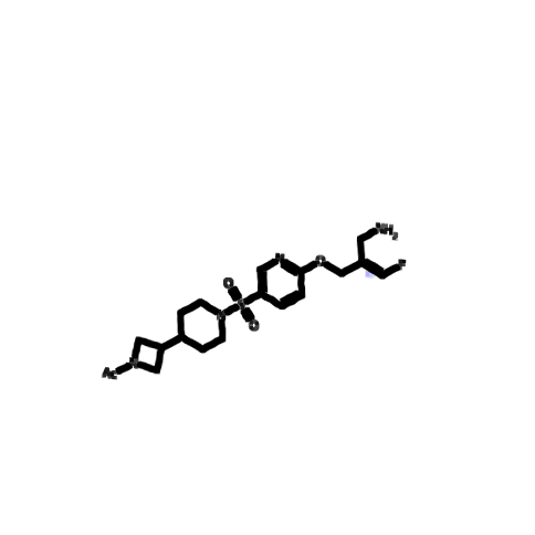 CC(=O)N1CC(C2CCN(S(=O)(=O)c3ccc(OC/C(=C/F)CN)nc3)CC2)C1